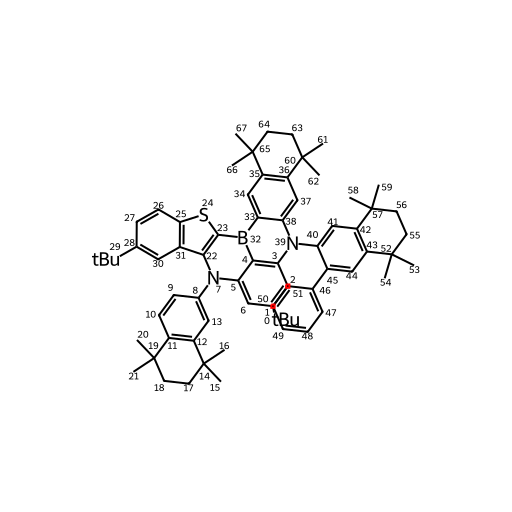 CC(C)(C)c1cc2c3c(c1)N(c1ccc4c(c1)C(C)(C)CCC4(C)C)c1c(sc4ccc(C(C)(C)C)cc14)B3c1cc3c(cc1N2c1cc2c(cc1-c1ccccc1)C(C)(C)CCC2(C)C)C(C)(C)CCC3(C)C